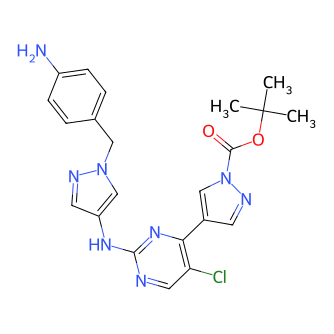 CC(C)(C)OC(=O)n1cc(-c2nc(Nc3cnn(Cc4ccc(N)cc4)c3)ncc2Cl)cn1